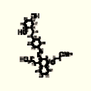 COCCOc1cc(N=Nc2ccc(CCc3cc(O)ccc3O)cc2)c(CC(=O)O)c2ccccc12